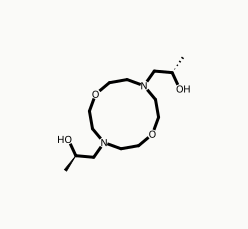 C[C@H](O)CN1CCOCCN(C[C@@H](C)O)CCOCC1